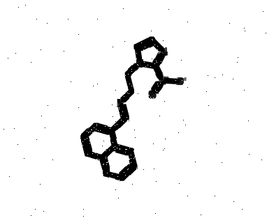 O=[N+]([O-])c1nccn1CCN=Cc1cccc2ccccc12